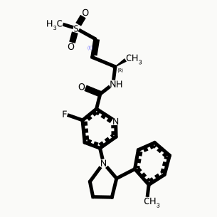 Cc1ccccc1C1CCCN1c1cnc(C(=O)N[C@H](C)/C=C/S(C)(=O)=O)c(F)c1